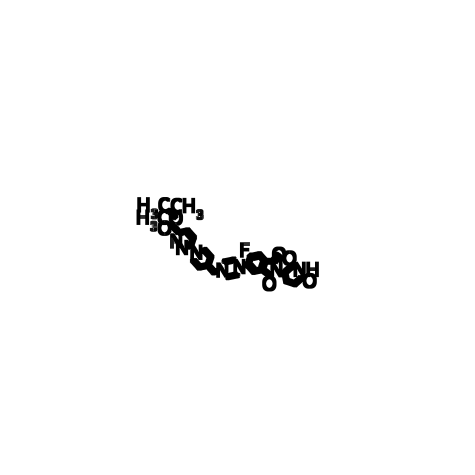 CC(C)(C)OC(=O)c1ccc(N2CCC(CN3CCN(c4cc5c(cc4F)C(=O)N([C@@H]4CCC(=O)NC4=O)C5=O)CC3)CC2)nn1